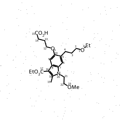 CCOCCCc1cc2c(cc1OCCCC(=O)O)c(C(=O)OCC)c(C)n2CCOC